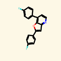 Fc1ccc(-c2cc3nccc(-c4ccc(F)cc4)c3o2)cc1